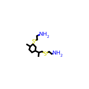 CC(CSCCN)C1CCC(C)C(SCCN)C1